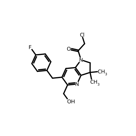 CC1(C)CN(C(=O)CCl)c2cc(Cc3ccc(F)cc3)c(CO)nc21